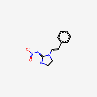 O=[N+]([O-])/N=C1\NCCN1/C=C/c1ccccc1